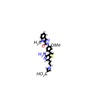 COc1cc(-c2csc3c(/C=C/CN4CC(C(=O)O)C4)cnc(N)c23)ccc1NC(=O)c1cc2ccccc2n1C